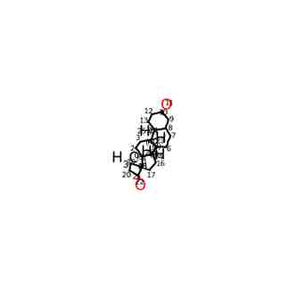 C[C@]12CC[C@H]3[C@@H](CCC4CC(=O)CC[C@@H]43)[C@@H]1CC[C@@]21CCC1=O